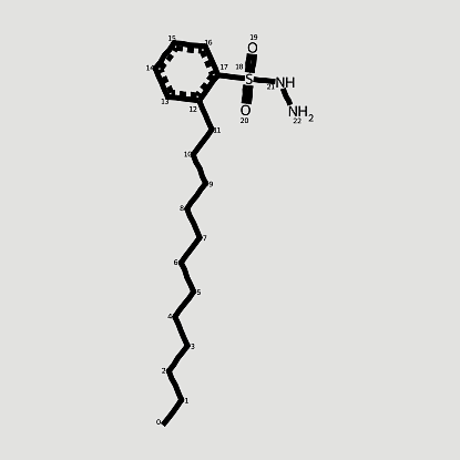 CCCCCCCCCCCCc1ccccc1S(=O)(=O)NN